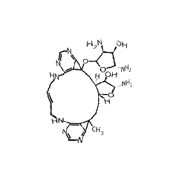 CC12CC[C@H]3O[C@@H](N)[C@H](O)[C@@H]3CC3(OC4O[C@@H](N)[C@H](O)[C@@H]4N)c4ncnc(c43)NC/C=C/CNc3ncnc1c32